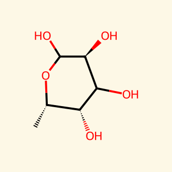 C[C@@H]1OC(O)[C@@H](O)C(O)[C@@H]1O